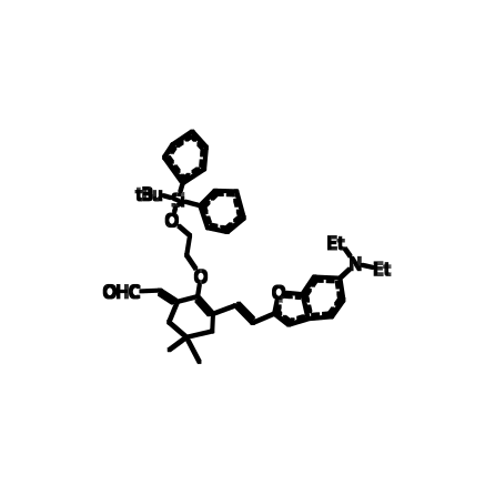 CCN(CC)c1ccc2cc(C=CC3=C(OCCO[Si](c4ccccc4)(c4ccccc4)C(C)(C)C)C(=CC=O)CC(C)(C)C3)oc2c1